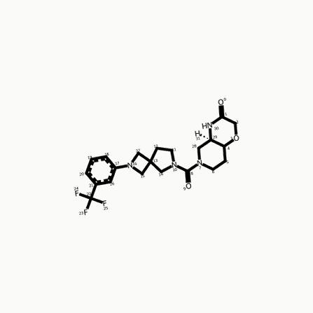 O=C1COC2CCN(C(=O)N3CCC4(C3)CN(c3cccc(C(F)(F)F)c3)C4)C[C@H]2N1